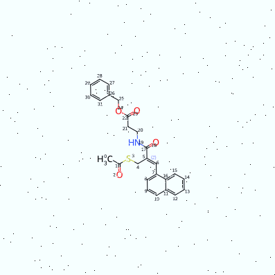 CC(=O)SC/C(=C\c1cccc2ccccc12)C(=O)NCCC(=O)OCc1ccccc1